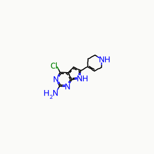 Nc1nc(Cl)c2cc(C3=CCNCC3)[nH]c2n1